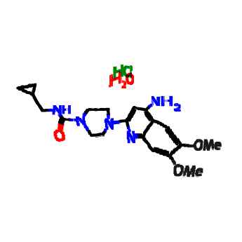 COc1cc2nc(N3CCN(C(=O)NCC4CC4)CC3)cc(N)c2cc1OC.Cl.O